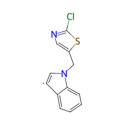 Clc1ncc(Cn2c[c]c3ccccc32)s1